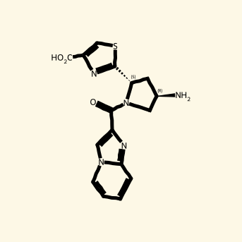 N[C@@H]1C[C@@H](c2nc(C(=O)O)cs2)N(C(=O)c2cn3ccccc3n2)C1